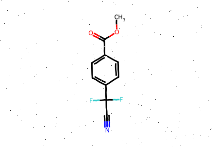 COC(=O)c1ccc(C(F)(F)C#N)cc1